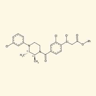 CC(C)OC(=O)C[S+]([O-])c1ccc(C(=O)N2CCN(c3cccc(Cl)c3)[C@@H](C)[C@@H]2C)cc1Cl